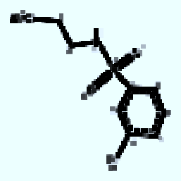 COCCNS(=O)(=O)c1cccc(Br)c1